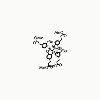 COC(=O)CCc1ccc(OP(CP(Oc2ccc(CCC(=O)OC)cc2C(C)(C)C)Oc2ccc(CCC(=O)OC)cc2C(C)(C)C)Oc2ccc(CCC(=O)OC)cc2C(C)(C)C)c(C(C)(C)C)c1